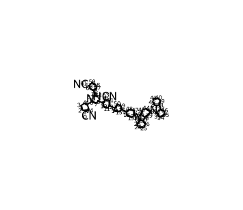 N#Cc1cccc(-c2cc(-c3ccc(-c4ccc(-c5ccc(-n6c7ccccc7c7cc(-n8c9ccccc9c9ccccc98)ccc76)cc5)cc4)cc3C#N)nc(-c3cccc(C#N)c3)n2)c1